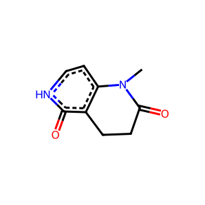 CN1C(=O)CCc2c1cc[nH]c2=O